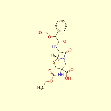 CCOC(=O)NC1(C(=O)O)CS[C@@H]2C(NC(=O)C(OC=O)c3ccccc3)C(=O)N2C1